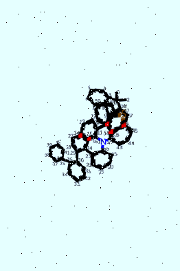 CC1(C)c2ccccc2-c2c(-c3ccccc3N(c3ccccc3-c3ccccc3-c3ccccc3-c3ccccc3)c3cccc4sc5ccccc5c34)cccc21